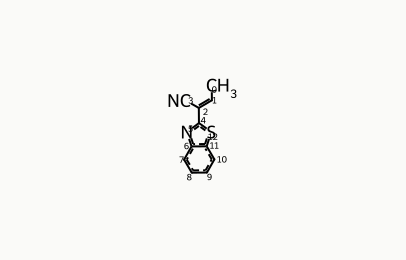 C/C=C(\C#N)c1nc2ccccc2s1